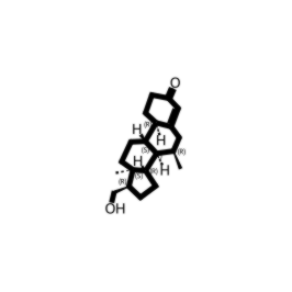 C[C@@H]1CC2=CC(=O)CC[C@@H]2[C@H]2CC[C@]3(C)[C@H](CO)CC[C@@H]3[C@@H]21